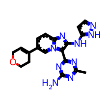 Cc1nc(N)nc(-c2c(Nc3ccn[nH]3)nc3ccc(C4=CCOCC4)cn23)n1